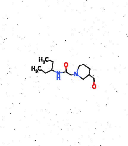 CCC(CC)NC(=O)CN1CCCC(C=O)C1